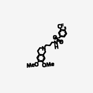 COc1cc2c(cc1OC)CN(CCCNS(=O)(=O)c1cccc(C(F)(F)F)c1)CC2